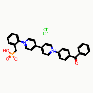 O=C(c1ccccc1)c1ccc(-[n+]2ccc(-c3cc[n+](-c4ccccc4CP(=O)(O)O)cc3)cc2)cc1.[Cl-].[Cl-]